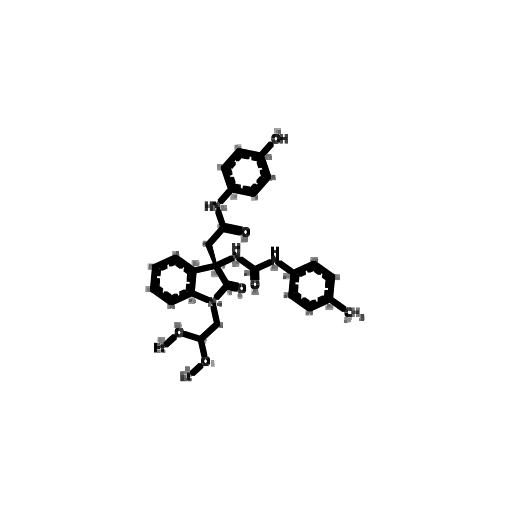 CCOC(CN1C(=O)[C@@](CC(=O)Nc2ccc(O)cc2)(NC(=O)Nc2ccc(C)cc2)c2ccccc21)OCC